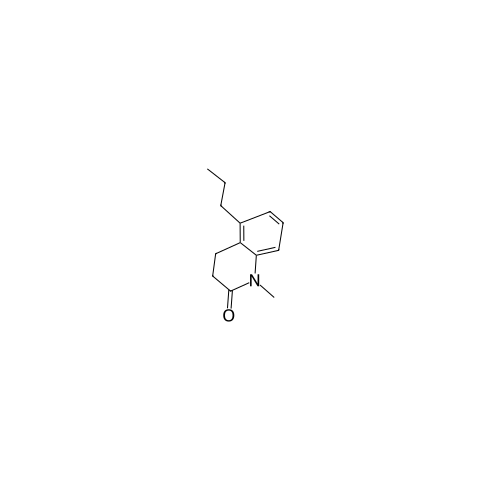 CCCc1cccc2c1CCC(=O)N2C